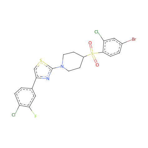 O=S(=O)(c1ccc(Br)cc1Cl)C1CCN(c2nc(-c3ccc(Cl)c(F)c3)cs2)CC1